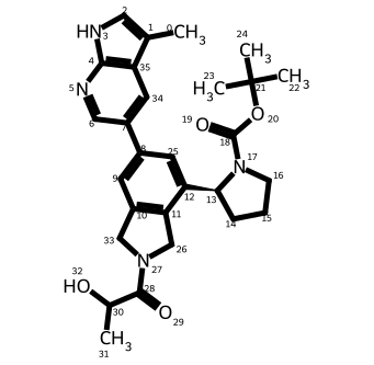 Cc1c[nH]c2ncc(-c3cc4c(c([C@@H]5CCCN5C(=O)OC(C)(C)C)c3)CN(C(=O)C(C)O)C4)cc12